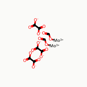 O=C([O-])C(=O)[O-].O=C([O-])C(=O)[O-].O=C([O-])C(=O)[O-].O=C[O][Mo+3].O=C[O][Mo+3]